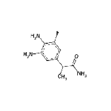 CC(C(N)=O)c1cc(N)c(N)c(F)c1